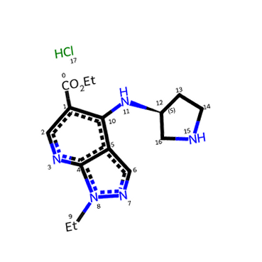 CCOC(=O)c1cnc2c(cnn2CC)c1N[C@H]1CCNC1.Cl